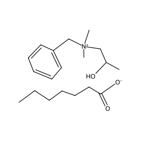 CC(O)C[N+](C)(C)Cc1ccccc1.CCCCCCC(=O)[O-]